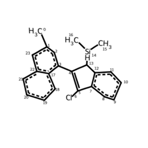 Cc1cc(C2=C(Cl)c3ccccc3C2[SiH](C)C)c2ccccc2c1